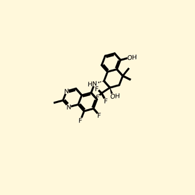 Cc1ncc2c(N[C@@H]3c4cccc(O)c4C(C)(C)C[C@]3(O)C(F)(F)F)cc(F)c(F)c2n1